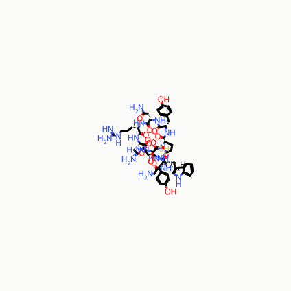 N=C(N)NCCC[C@H](NC(=O)[C@H](CC(N)=O)NC(=O)[C@H](Cc1ccc(O)cc1)NC(=O)[C@@H]1CCCN1C(=O)[C@H](CC(N)=O)NC(=O)[C@H](Cc1c[nH]c2ccccc12)NC(=O)CN)C(=O)N[C@@H](CC(N)=O)C(=O)N[C@@H](CS)C(=O)N[C@@H](Cc1ccc(O)cc1)C(=O)O